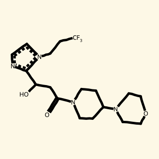 O=C(CC(O)c1nccn1CCC(F)(F)F)N1CCC(N2CCOCC2)CC1